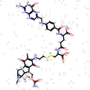 CO[C@@]12[C@H](COC(N)=O)C3=C(C(=O)C(C)=C(NCCSSCC(NC(=O)CCC(NC(=O)c4ccc(NCc5cnc6nc(N)[nH]c(=O)c6n5)cc4)C(=O)O)C(=O)O)C3=O)N1CC1[C@@H]2N1C